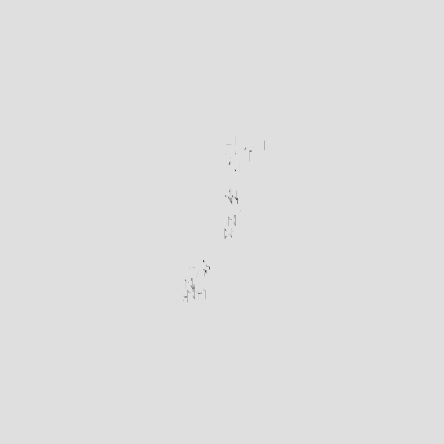 Cc1ccc(C(=O)N2CCC(CCCCN3CCN(c4ccc5cn([C@H]6CC[C@H](CNC(=O)c7cc(F)c(O)c(F)c7F)CC6)nc5c4)CC3)CC2)cc1N1CCC(=O)NC1=O